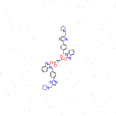 Cn1c(CN2CCCC2)cnc1-c1ccc(Cn2c(OC(=O)/C=C/C(=O)Oc3nc4ccccc4n3Cc3ccc(-c4ncc(CN5CCCC5)n4C)cc3)nc3ccccc32)cc1